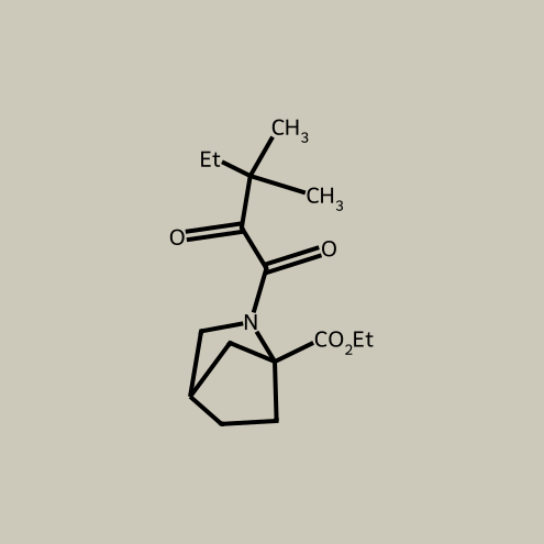 CCOC(=O)C12CCC(CN1C(=O)C(=O)C(C)(C)CC)C2